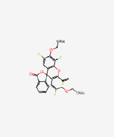 C=C(F)C1=C(/C=C(/F)COCOC)C2(OC(=O)c3ccccc32)c2cc(F)c(OCOC)c(F)c2O1